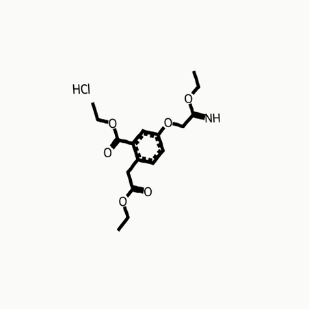 CCOC(=N)COc1ccc(CC(=O)OCC)c(C(=O)OCC)c1.Cl